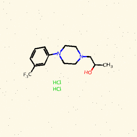 CC(O)CN1CCN(c2cccc(C(F)(F)F)c2)CC1.Cl.Cl